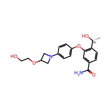 C[C@@H](O)c1ccc(C(N)=O)cc1Oc1ccc(N2CC(OCCO)C2)cc1